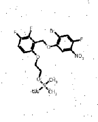 CC(C)(C)[Si](C)(C)OCCOc1ccc(F)c(F)c1COc1cc([N+](=O)[O-])c(F)cc1Br